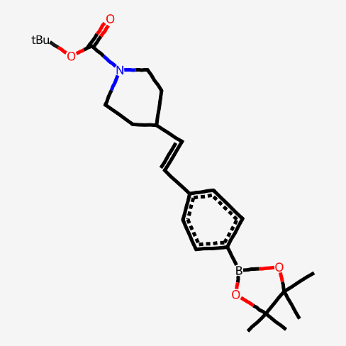 CC(C)(C)OC(=O)N1CCC(C=Cc2ccc(B3OC(C)(C)C(C)(C)O3)cc2)CC1